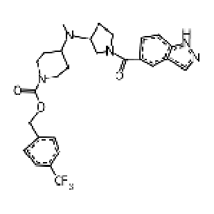 CN(C1CCN(C(=O)OCc2ccc(C(F)(F)F)cc2)CC1)C1CCN(C(=O)c2ccc3[nH]ncc3c2)C1